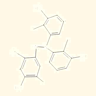 Cc1cc(NN(c2cccc(O)c2C)c2cccc(O)c2C)c(N)cc1O